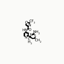 C=C1C[C@@](C)(c2cc(NC(=O)c3coc(C(F)(F)F)n3)ccn2)N=C(N)S1